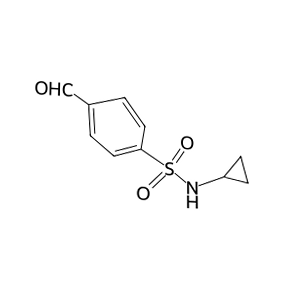 O=Cc1ccc(S(=O)(=O)NC2CC2)cc1